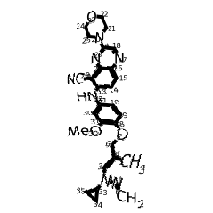 C=NN(/C=C(\C)COc1ccc(Nc2ccc3ncc(N4CCOCC4)nc3c2C#N)cc1OC)C1CC1